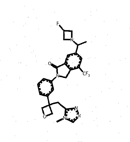 CC(c1cc2c(c(C(F)(F)F)c1)CN(c1cccc(C3(Cc4nncn4C)COC3)c1)C2=O)N1CC(F)C1